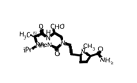 CNC(=O)N(CCC1CCC(C(N)=O)N1C)CC(C=O)NC(=O)[C@H](C)NC(C)C